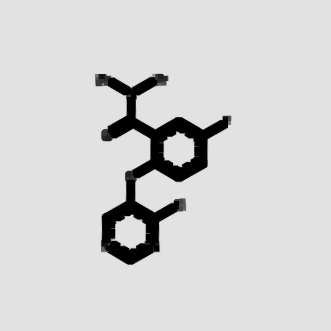 CC(C)N(C(=O)c1cc(F)ccc1Oc1cncnc1Cl)C(C)C